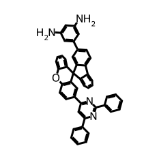 Nc1cc(N)cc(-c2ccc3c(c2)C2(c4ccccc4Oc4ccc(-c5cc(-c6ccccc6)nc(-c6ccccc6)n5)cc42)c2ccccc2-3)c1